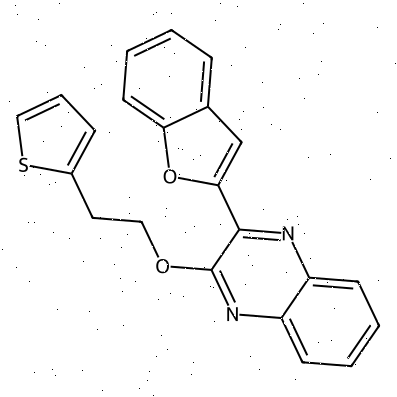 c1csc(CCOc2nc3ccccc3nc2-c2cc3ccccc3o2)c1